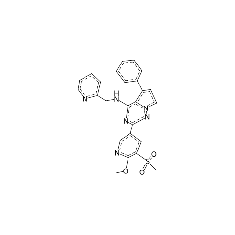 COc1ncc(-c2nc(NCc3ccccn3)c3c(-c4ccccc4)ccn3n2)cc1S(C)(=O)=O